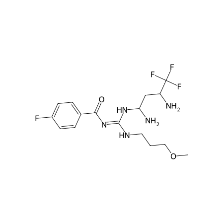 COCCCN/C(=N/C(=O)c1ccc(F)cc1)NC(N)CC(N)C(F)(F)F